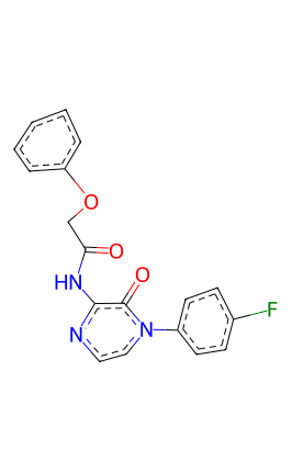 O=C(COc1ccccc1)Nc1nccn(-c2ccc(F)cc2)c1=O